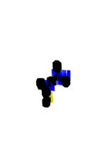 c1ccc(C2=NC(c3ccc(-n4c5ccccc5c5cc6c(cc54)sc4ccccc46)nc3)=NC(c3ccccc3)N2)cc1